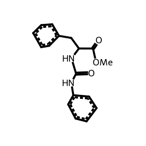 COC(=O)C(Cc1ccccc1)NC(=O)Nc1ccccc1